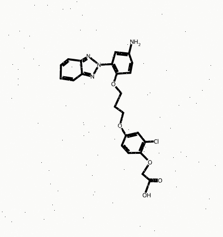 Nc1ccc(OCCCOc2ccc(OCC(=O)O)c(Cl)c2)c(-n2nc3ccccc3n2)c1